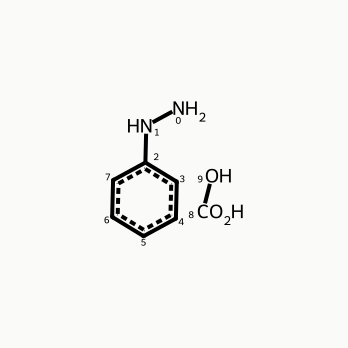 NNc1ccccc1.O=C(O)O